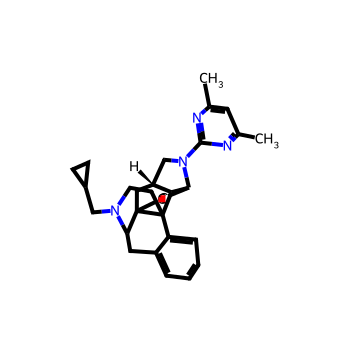 Cc1cc(C)nc(N2C[C@H]3CC45CCC2C3C42CCN(CC3CC3)C5Cc3ccccc32)n1